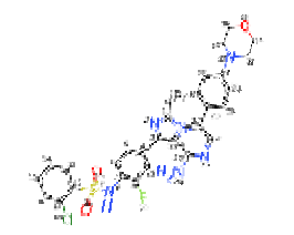 CC(C)c1nc(-c2ccc(NS(=O)(=O)c3ccccc3Cl)c(F)c2)c2c(N)ncc(-c3ccc(N4CCOCC4)cc3)n12